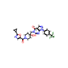 O=C(c1cnc(C2CC2)o1)N1CCC(O)(Cn2cnc3c(cnn3-c3ccc(C(F)(F)F)cc3)c2=O)CC1